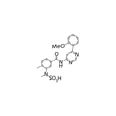 COc1ccccc1-c1cc(NC(=O)c2ccc(C)c(N(C)S(=O)(=O)O)c2)ncn1